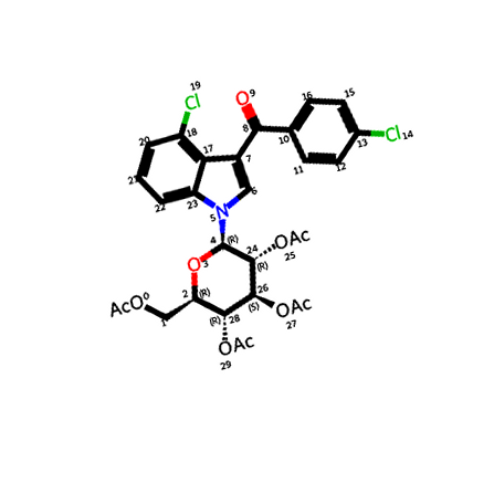 CC(=O)OC[C@H]1O[C@@H](n2cc(C(=O)c3ccc(Cl)cc3)c3c(Cl)cccc32)[C@H](OC(C)=O)[C@@H](OC(C)=O)[C@@H]1OC(C)=O